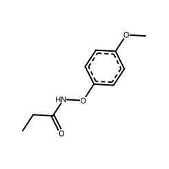 CCC(=O)NOc1ccc(OC)cc1